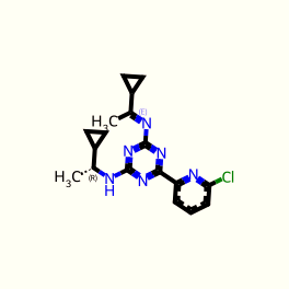 C/C(=N\c1nc(N[C@H](C)C2CC2)nc(-c2cccc(Cl)n2)n1)C1CC1